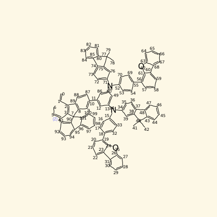 C=CC1=C(/C=C\C)C2(c3cc(-c4cc(N(c5ccc(-c6cccc7c6oc6ccccc67)cc5)c5ccc6c(c5)C(C)(C)c5ccccc5-6)cc(N(c5ccc(-c6cccc7c6oc6ccccc67)cc5)c5ccc6c(c5)C(C)(C)c5ccccc5-6)c4)ccc31)c1ccccc1-c1ccccc12